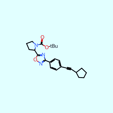 CC(C)(C)OC(=O)N1CCCC1c1nc(-c2ccc(C#CC3CCCC3)cc2)no1